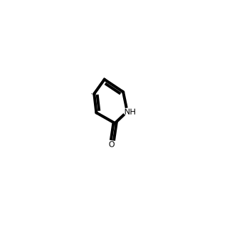 O=c1c[c]cc[nH]1